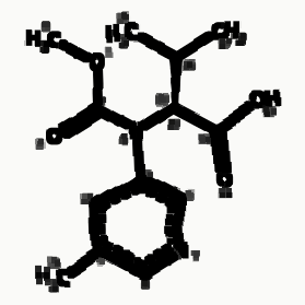 COC(=O)N(c1cncc(C)c1)[C@H](C(=O)O)C(C)C